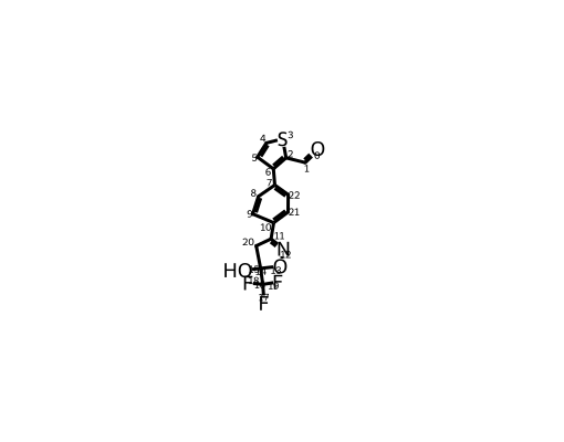 O=Cc1sccc1-c1ccc(C2=NOC(O)(C(F)(F)F)C2)cc1